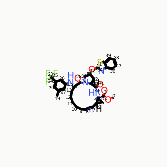 COC(=O)[C@@]12C[C@H]1/C=C\CCCCC[C@H](Nc1cc(C)cc(C(F)(F)F)c1)C(=O)N1C[C@H](Oc3nc4ccccc4s3)C[C@H]1C(=O)N2